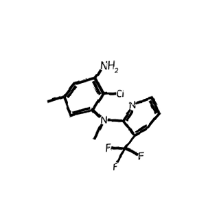 Cc1cc(N)c(Cl)c(N(C)c2ncccc2C(F)(F)F)c1